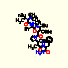 CCCCC(C)[C@@H](C(=O)N[C@H](C(=O)N(C)[C@@H]([C@@H](C)CC)[C@@H](CC(=O)N1CCC[C@H]1[C@H](OC)[C@@H](C)C(=O)N[C@@H](Cc1ccccc1)C(N)=O)OC)C(C)C)N(C)C